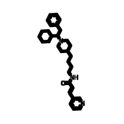 O=C(C=Cc1cccnc1)NCCCCC1CCN(C(Cc2ccccc2)C2CCCCC2)CC1